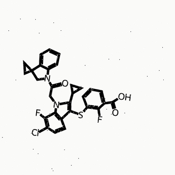 O=C(O)c1cccc(Sc2c(C3CC3)n(CC(=O)N3CC4(CC4)c4ccccc43)c3c(F)c(Cl)ccc23)c1F